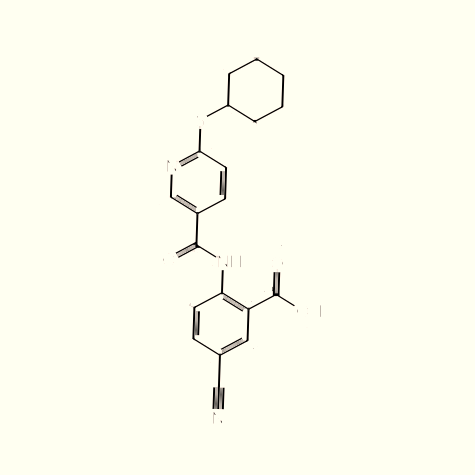 N#Cc1ccc(NC(=O)c2ccc(SC3CCCCC3)nc2)c(C(=O)O)c1